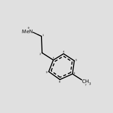 [CH2-][NH2+]CCc1ccc(C)cc1